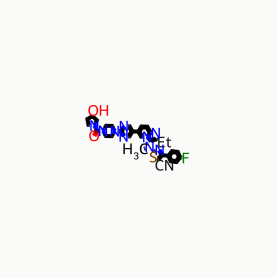 CCc1nc2ccc(-c3cnc(N4CCN(C(=O)N5CCC(O)C5)CC4)nc3)cn2c1N(C)c1nc(-c2ccc(F)cc2)c(C#N)s1